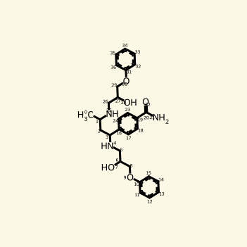 CC(CC(NCC(O)COc1ccccc1)c1ccc(C(N)=O)cc1)NCC(O)COc1ccccc1